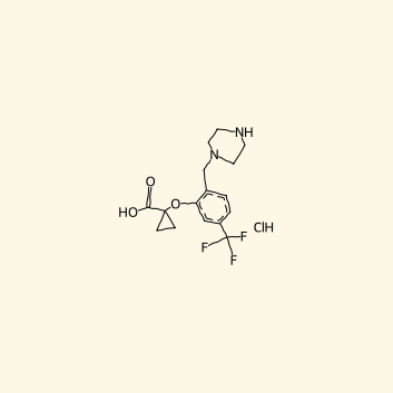 Cl.O=C(O)C1(Oc2cc(C(F)(F)F)ccc2CN2CCNCC2)CC1